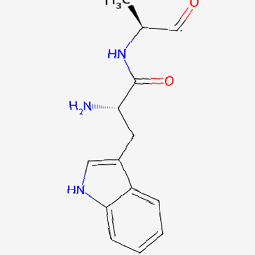 C[C@@H]([C]=O)NC(=O)[C@@H](N)Cc1c[nH]c2ccccc12